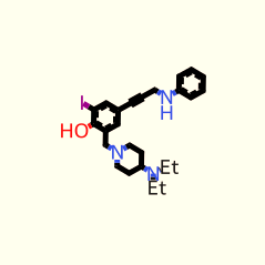 CCN(CC)C1CCN(Cc2cc(C#CCNc3ccccc3)cc(I)c2O)CC1